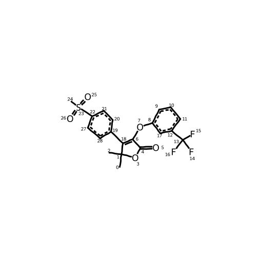 CC1(C)OC(=O)C(Oc2cccc(C(F)(F)F)c2)=C1c1ccc(S(C)(=O)=O)cc1